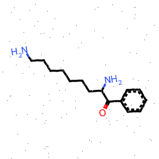 NCCCCCCCC(N)C(=O)c1ccccc1